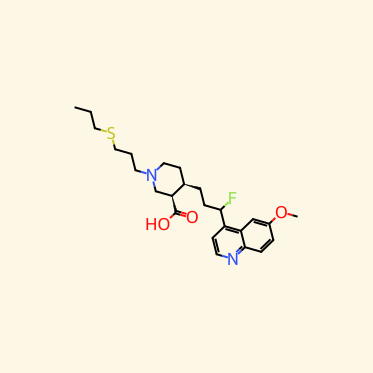 CCCSCCCN1CC[C@@H](CCC(F)c2ccnc3ccc(OC)cc23)[C@@H](C(=O)O)C1